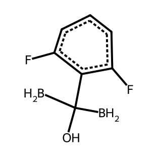 BC(B)(O)c1c(F)cccc1F